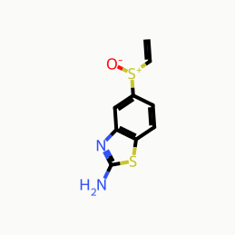 C=C[S+]([O-])c1ccc2sc(N)nc2c1